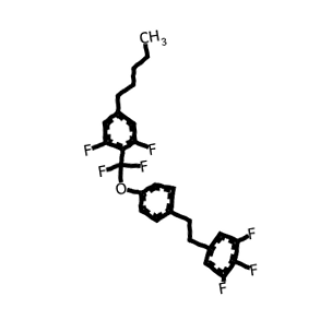 CCCCCc1cc(F)c(C(F)(F)Oc2ccc(CCc3cc(F)c(F)c(F)c3)cc2)c(F)c1